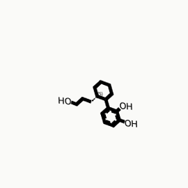 OCCC[C@@H]1CCCCC1c1cccc(O)c1O